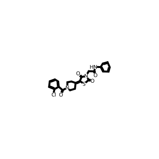 O=C(CN1C(=O)SC(=C2CCN(C(=O)c3ccccc3Cl)CC2)C1=O)Nc1ccccc1